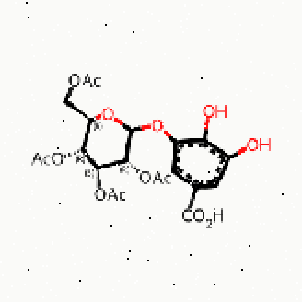 CC(=O)OC[C@H]1OC(Oc2cc(C(=O)O)cc(O)c2O)[C@H](OC(C)=O)[C@@H](OC(C)=O)[C@@H]1OC(C)=O